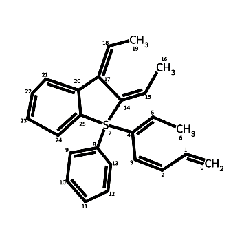 C=C/C=C\C(=C/C)S1(c2ccccc2)C(=C/C)/C(=C\C)c2ccccc21